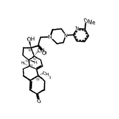 COc1cccc(N2CCN(CC(=O)[C@@]3(O)CC[C@H]4[C@@H]5CCC6=CC(=O)CC[C@]6(C)C5=CC[C@@]43C)CC2)n1